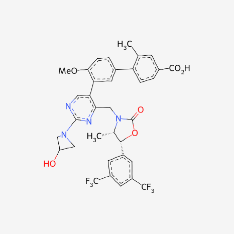 COc1ccc(-c2ccc(C(=O)O)cc2C)cc1-c1cnc(N2CC(O)C2)nc1CN1C(=O)O[C@H](c2cc(C(F)(F)F)cc(C(F)(F)F)c2)[C@@H]1C